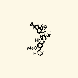 CCc1cc(C2CNCCO2)c(OC)cc1Nc1ncc(Br)c(Nc2ccc3nc(C4CC4)ccc3c2P(C)(C)=O)n1